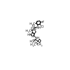 Cc1ccc(F)c(Cl)c1NC(=O)N1Cc2c(NC(=O)C3(S(C)(C)C)CCC3)n[nH]c2C1(C)C